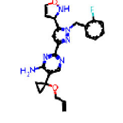 C=CCOC1(c2cnc(-c3cc(C4C=CON4)n(Cc4ccccc4F)n3)nc2N)CC1